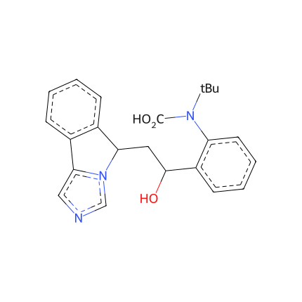 CC(C)(C)N(C(=O)O)c1ccccc1C(O)CC1c2ccccc2-c2cncn21